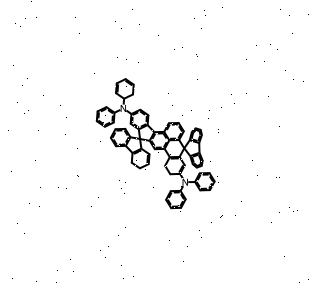 C1=CCC(N(c2ccccc2)c2ccc3c(c2)C2(C4=C(CCC=C4)c4ccccc42)c2cc4c5c(cccc5c2-3)C2(C3=C4CCC(N(c4ccccc4)c4ccccc4)=C3)c3ccccc3-c3ccccc32)C=C1